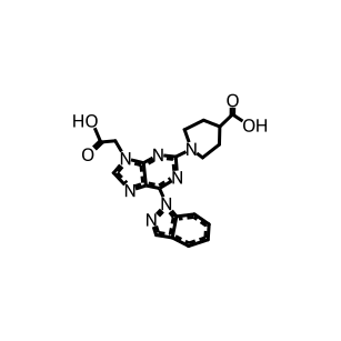 O=C(O)Cn1cnc2c(-n3ncc4ccccc43)nc(N3CCC(C(=O)O)CC3)nc21